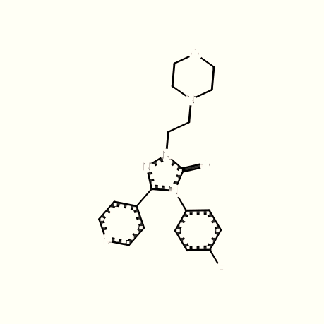 O=c1n(CCN2CCOCC2)nc(-c2ccncc2)n1-c1ccc(F)cc1